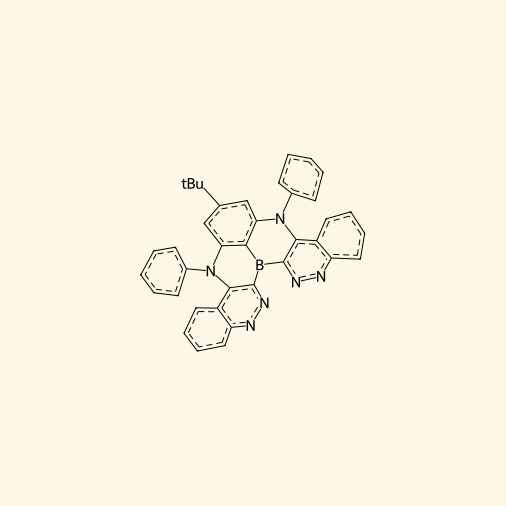 CC(C)(C)c1cc2c3c(c1)N(c1ccccc1)c1c(nnc4ccccc14)B3c1nnc3ccccc3c1N2c1ccccc1